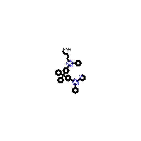 CN/C=C\C=C/Cc1nc(-c2ccccc2)nc(-c2ccc(C(c3ccccc3)(c3ccccc3)c3ccc(-c4nc(-c5ccccc5)nc(-c5ccccn5)n4)cc3)cc2)n1